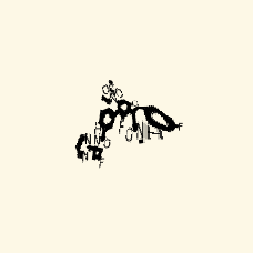 CCN(c1cc2oc(-c3ccc(F)cc3)c(C(=O)NC)c2c(F)c1-c1cccc(C(=O)NC2(c3ncccn3)CC(F)C2)c1)S(C)(=O)=O